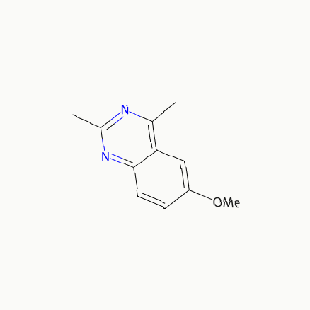 COc1ccc2nc(C)nc(C)c2c1